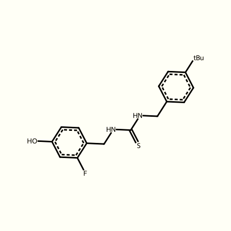 CC(C)(C)c1ccc(CNC(=S)NCc2ccc(O)cc2F)cc1